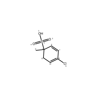 CC1(S(=O)(=O)O)C=CC(Cl)=CC1